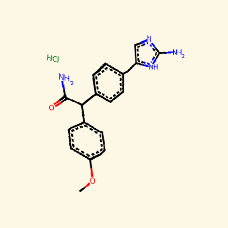 COc1ccc(C(C(N)=O)c2ccc(-c3cnc(N)[nH]3)cc2)cc1.Cl